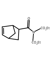 CCOC(=O)N(C(=O)OCC)C(=O)C1CC2C=CC1C2